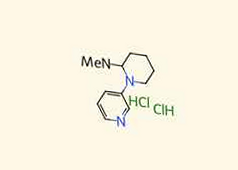 CNC1CCCCN1c1cccnc1.Cl.Cl